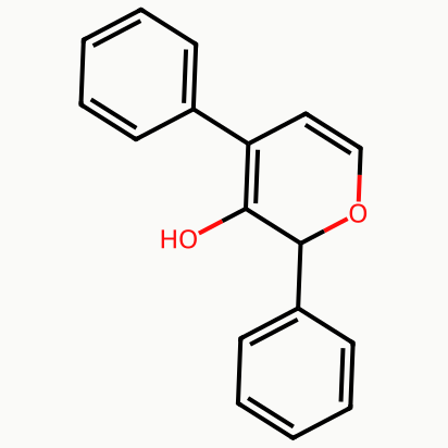 OC1=C(c2ccccc2)C=COC1c1ccccc1